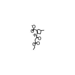 CCOC(=O)CC(=O)N(C)C1=C(C(=O)OC)CC(C)C1